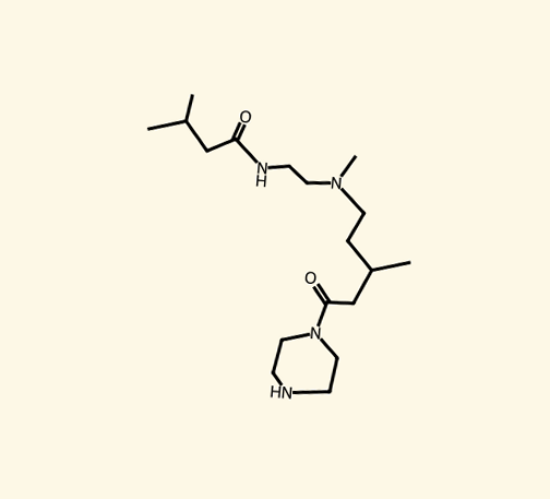 CC(C)CC(=O)NCCN(C)CCC(C)CC(=O)N1CCNCC1